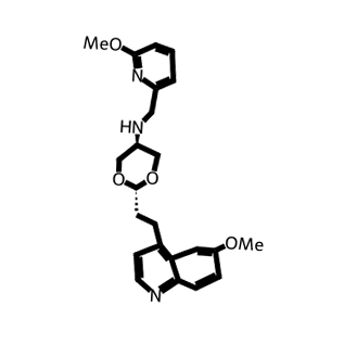 COc1ccc2nccc(CC[C@H]3OC[C@H](NCc4cccc(OC)n4)CO3)c2c1